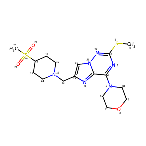 CSc1nc(N2CCOCC2)c2nc(CN3CCC(S(C)(=O)=O)CC3)cn2n1